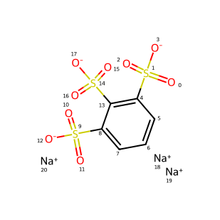 O=S(=O)([O-])c1cccc(S(=O)(=O)[O-])c1S(=O)(=O)[O-].[Na+].[Na+].[Na+]